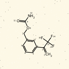 C=C(c1cccc(COC(N)=O)c1)C(F)(F)F